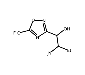 CCC(N)C(O)c1noc(C(F)(F)F)n1